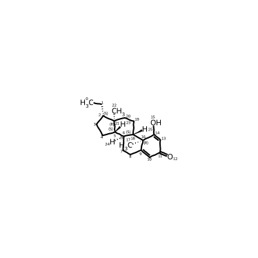 CC[C@H]1CC[C@H]2[C@@H]3CCC4=CC(=O)C=C(O)[C@]4(C)[C@H]3CC[C@]12C